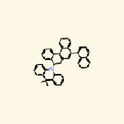 CC1(C)c2ccccc2N(c2cc3cc(-c4cccc5ccccc45)c4ccccc4c3c3ccccc23)c2ccccc21